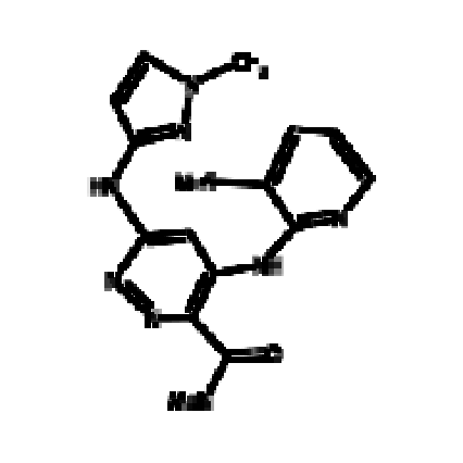 CNC(=O)c1nnc(Nc2ccn(C)n2)cc1Nc1ncccc1SC